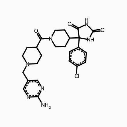 Nc1ncc(CN2CCC(C(=O)N3CCC(C4(c5ccc(Cl)cc5)NC(=O)NC4=O)CC3)CC2)cn1